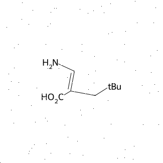 CC(C)(C)CC(=CN)C(=O)O